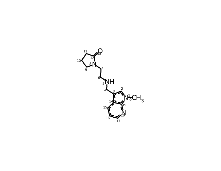 Cn1cc(CNCCN2CCCC2=O)c2cccnc21